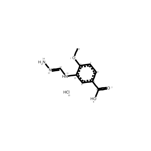 COc1ccc(C(=O)O)cc1NC=NN.Cl